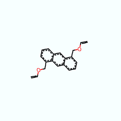 C=COCc1cccc2cc3c(COC=C)cccc3cc12